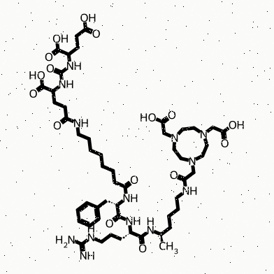 C[C@H](CCCCNC(=O)CN1CCN(CC(=O)O)CCN(CC(=O)O)CC1)NC(=O)[C@H](CCCNC(=N)N)NC(=O)[C@H](Cc1ccccc1)NC(=O)CCCCCCCNC(=O)CCC(NC(=O)NC(CCC(=O)O)C(=O)O)C(=O)O